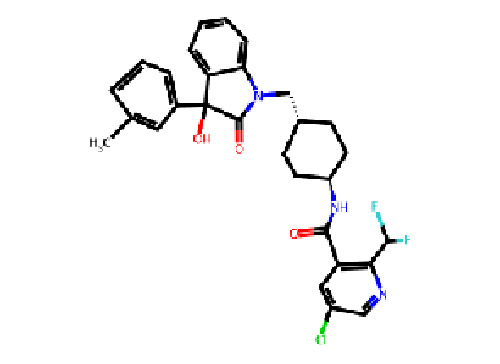 Cc1cccc(C2(O)C(=O)N(C[C@H]3CC[C@H](NC(=O)c4cc(Cl)cnc4C(F)F)CC3)c3ccccc32)c1